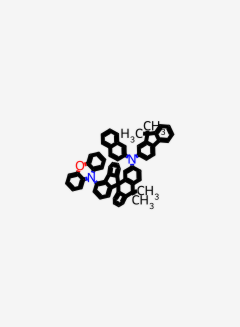 CC1(C)c2ccccc2-c2ccc(N(c3ccc4c(c3)C3(c5ccccc5-c5c(N6c7ccccc7Oc7ccccc76)cccc53)c3ccccc3C4(C)C)c3ccc4ccccc4c3)cc21